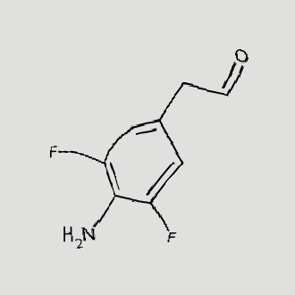 Nc1c(F)cc(CC=O)cc1F